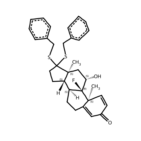 C[C@]12C[C@H](O)[C@@]3(F)[C@@H](CCC4=CC(=O)C=C[C@@]43C)[C@@H]1CCC2(SCc1ccccc1)SCc1ccccc1